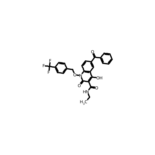 CCNC(=O)c1c(O)c2cc(C(=O)c3ccccc3)ccc2n(OCc2ccc(C(F)(F)F)cc2)c1=O